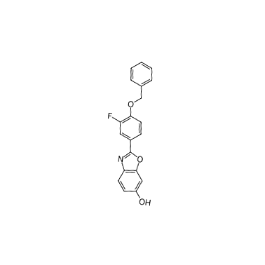 Oc1ccc2nc(-c3ccc(OCc4ccccc4)c(F)c3)oc2c1